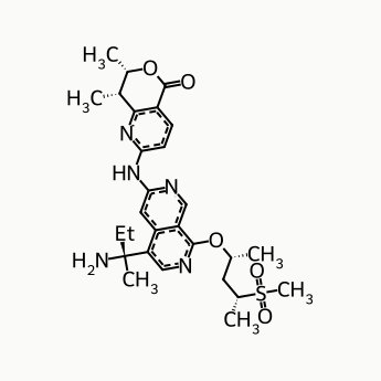 CC[C@@](C)(N)c1cnc(O[C@H](C)C[C@@H](C)S(C)(=O)=O)c2cnc(Nc3ccc4c(n3)[C@H](C)[C@H](C)OC4=O)cc12